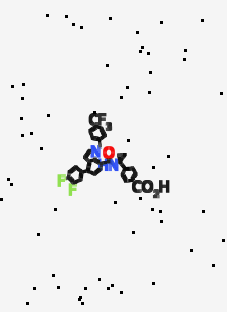 O=C(O)c1ccc(C2(NC(=O)c3ccc(-c4ccc(F)c(F)c4)c4ccn(Cc5ccc(C(F)(F)F)cc5)c34)CC2)cc1